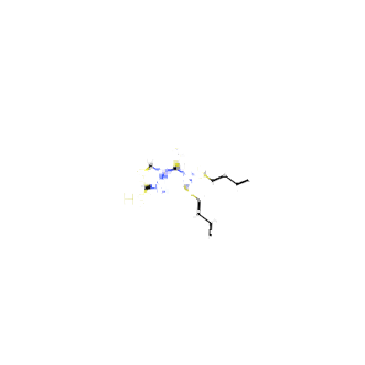 CCCCSN(SCCCC)C(=S)N1CSC(S)=N1